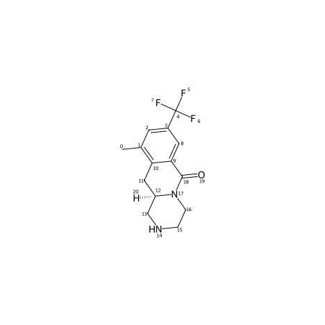 Cc1cc(C(F)(F)F)cc2c1C[C@@H]1CNCCN1C2=O